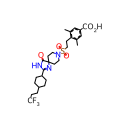 Cc1cc(C(=O)O)cc(C)c1CCS(=O)(=O)N1CCC2(CC1)N=C(C1CCC(CCC(F)(F)F)CC1)NC2=O